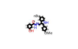 CCCCc1ccc2[nH]c(-c3ccc(OC)cc3)c(C=NNC(=O)c3cccc(O)c3)c2c1